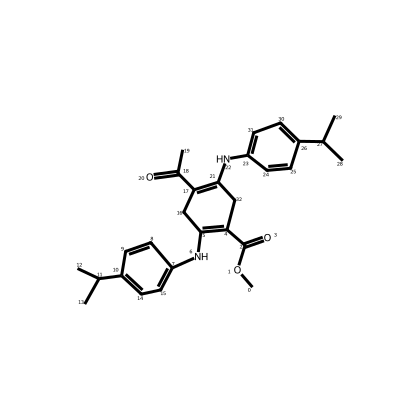 COC(=O)C1=C(Nc2ccc(C(C)C)cc2)CC(C(C)=O)=C(Nc2ccc(C(C)C)cc2)C1